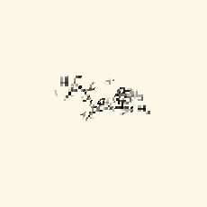 C=C(C)C(=O)OCC[N+](C)(C)CCC[Si](OC)(OC)OC.[Cl-]